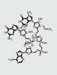 COC[C@H]1[C@@H](O)[C@H](n2c[n+](C)c3c(=O)[nH]c(N)nc32)O[C@@H]1COP(=O)(O)OP(=O)(O)CCP(=O)(O)OC[C@H]1O[C@@H](n2cnc3c(N)ncnc32)[C@H](OC)[C@@H]1OP(=O)(O)OC[C@H]1O[C@@H](n2cnc3c(=O)[nH]c(N)nc32)[C@H](O)[C@@H]1O